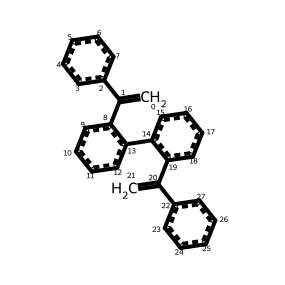 C=C(c1ccccc1)c1ccccc1-c1ccccc1C(=C)c1ccccc1